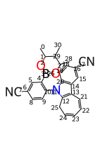 CC1OB(c2cc(C#N)ccc2-n2c3c(c4cc(C#N)ccc42)C=CC=CC3)OC(C)C1C